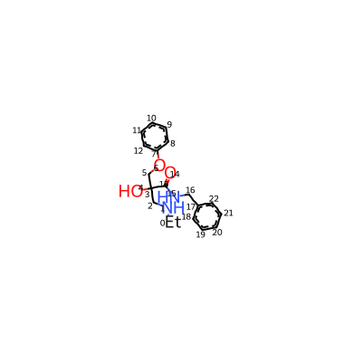 CCNCC(O)(COc1ccccc1)C(=O)NCc1ccccc1